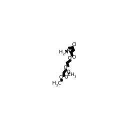 CCOC(=O)CC(OC)OCCCOC(=O)c1cc(Cl)cn1N